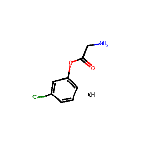 NCC(=O)Oc1cccc(Cl)c1.[KH]